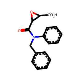 O=C(O)C1OC1C(=O)N(Cc1ccccc1)c1ccccc1